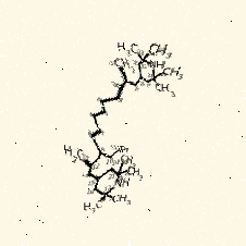 C=C(CCCCCCCC(CC(C)C)C(=C)CC1CC(C)(C)NC(C)(C)C1)CC1CC(C)(C)NC(C)(C)C1